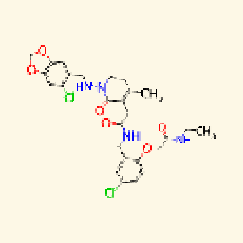 CCNC(=O)COc1ccc(Cl)cc1CNC(=O)CC1=C(C)CCN(NCc2cc3c(cc2Cl)OCO3)C1=O